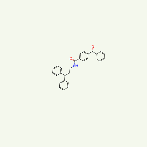 O=C(NCCC(c1ccccc1)c1ccccc1)c1ccc(C(=O)c2ccccc2)cc1